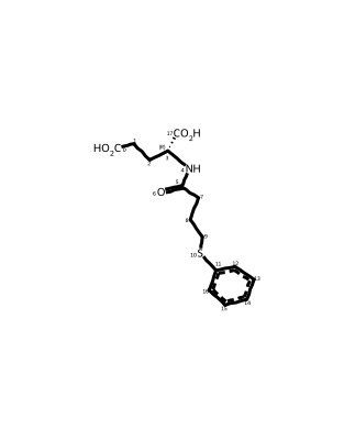 O=C(O)CC[C@@H](NC(=O)CCCSc1ccccc1)C(=O)O